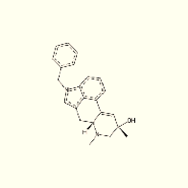 CN1C[C@@](C)(O)C=C2c3cccc4c3c(cn4Cc3ccccc3)C[C@H]21